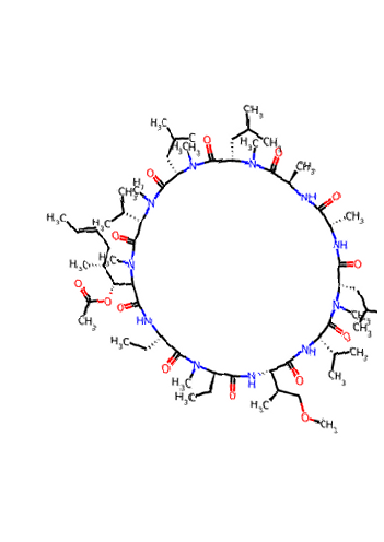 C/C=C/C[C@@H](C)[C@@H](OC(C)=O)C1C(=O)N[C@@H](CC)C(=O)N(C)[C@H](CC)C(=O)N[C@@H]([C@H](C)COC)C(=O)N[C@@H](C(C)C)C(=O)N(C)[C@@H](CC(C)C)C(=O)N[C@@H](C)C(=O)N[C@H](C)C(=O)N(C)[C@@H](CC(C)C)C(=O)N(C)[C@@H](CC(C)C)C(=O)N(C)[C@@H](C(C)C)C(=O)N1C